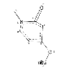 CCCCOc1ccn(C)c(=O)c1